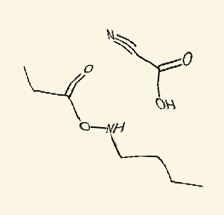 CCCCNOC(=O)CC.N#CC(=O)O